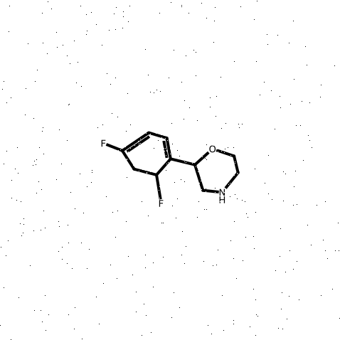 FC1=CC=C(C2CNCCO2)C(F)C1